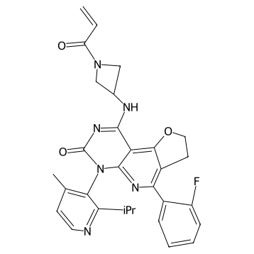 C=CC(=O)N1CC(Nc2nc(=O)n(-c3c(C)ccnc3C(C)C)c3nc(-c4ccccc4F)c4c(c23)OCC4)C1